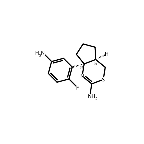 NC1=N[C@@]2(c3cc(N)ccc3F)CCC[C@H]2CS1